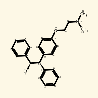 CC[C@@H](c1ccccc1)[C@H](c1ccccc1)c1ccc(OCCN(C)C)cc1